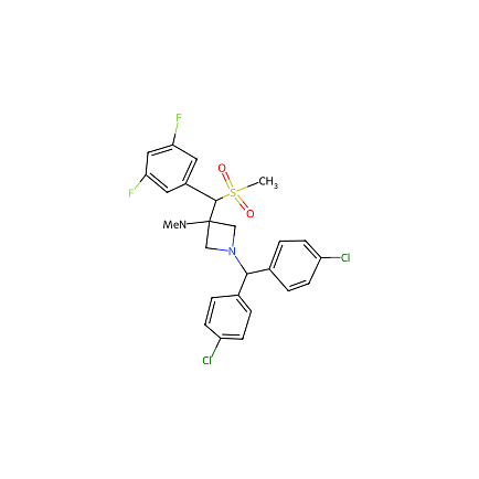 CNC1(C(c2cc(F)cc(F)c2)S(C)(=O)=O)CN(C(c2ccc(Cl)cc2)c2ccc(Cl)cc2)C1